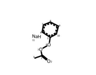 CC(=O)OOc1ccccc1.[NaH]